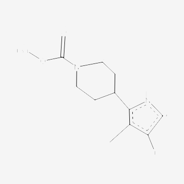 Cc1c(C(C)C)c[nH]c1C1CCN(C(=O)OC(C)(C)C)CC1